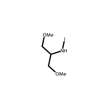 COCC(COC)NI